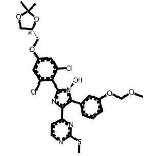 COCOc1cccc(-c2c(-c3ccnc(SC)n3)nc(-c3c(Cl)cc(OC[C@@H]4COC(C)(C)O4)cc3Cl)n2O)c1